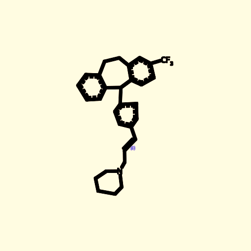 FC(F)(F)c1ccc2c(c1)CCc1ccccc1C2c1ccc(/C=C/CN2CCCCC2)cc1